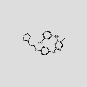 Cc1cnc(Nc2ccc(OCCN3CCCC3)cc2)nc1Nc1cccc(O)c1